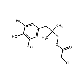 CC(C)(COC(=O)CCl)Cc1cc(C(C)(C)C)c(O)c(C(C)(C)C)c1